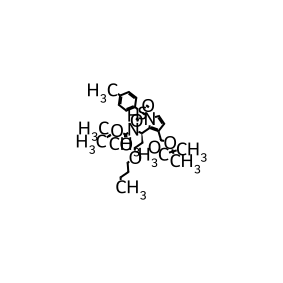 CCCCOCC[C@@H](NC(=O)OC(C)(C)C)c1c(C(=O)OC(C)(C)C)ccn1S(=O)(=O)c1ccc(C)cc1